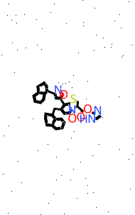 O=C(Oc1ncc[nH]1)C1CSc2c(-c3cc(-c4cccc5ccccc45)no3)c(Cc3cccc4ccccc34)cc(=O)n21